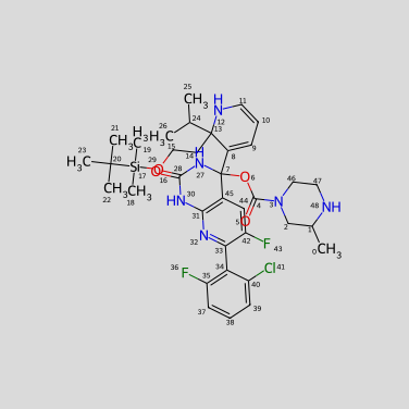 CC1CN(C(=O)OC2(C3=CC=CNC3(CCO[Si](C)(C)C(C)(C)C)C(C)C)NC(=O)Nc3nc(-c4c(F)cccc4Cl)c(F)cc32)CCN1